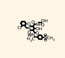 CC(NC(=O)c1c(O)c(C(=O)NCC(=O)O)c(=O)n(Cc2ccccc2Cl)c1O)c1ccc(S(C)(=O)=O)cc1